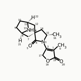 CC1=C(N2C(=O)[C@]3(C[C@H]4CC[C@@H](C3)N4)C[C@@H]2C)COC1=O